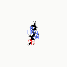 CC(=O)Oc1cn2ncnc(Nc3ccc(C)cn3)c2c1C